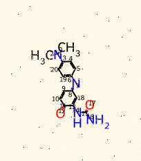 CN(C)c1ccc(N=C2C=CC(=O)C(NC(N)=O)=C2)cc1